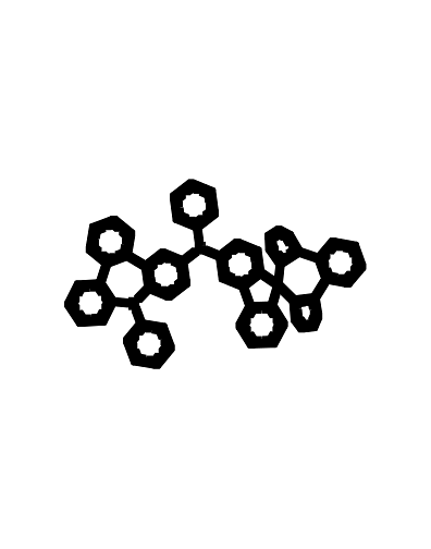 c1ccc(N(c2ccc3c(c2)-c2ccccc2-c2ccccc2N3c2ccccc2)c2ccc3c(c2)-c2ccccc2C32c3ccccc3-c3ccccc3-c3ccccc32)cc1